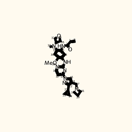 C=CC(=O)Nc1cc(Nc2nccc(-n3cc(CN4CCC4)c(C4CC4)n3)n2)c(OC)cc1N(C)C1COC1